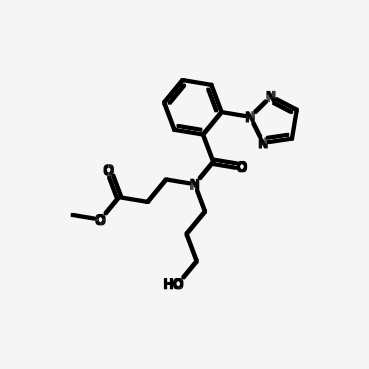 COC(=O)CCN(CCCO)C(=O)c1ccccc1-n1nccn1